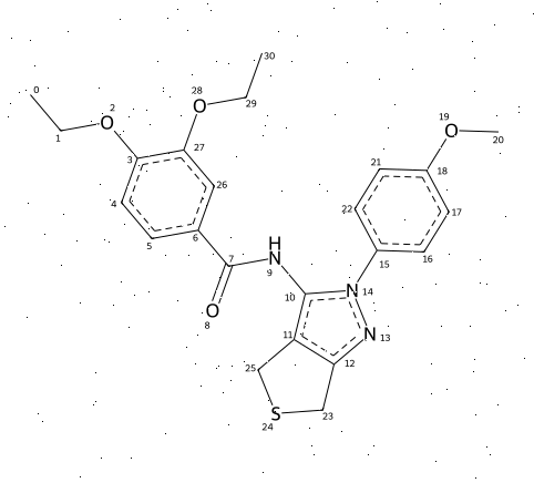 CCOc1ccc(C(=O)Nc2c3c(nn2-c2ccc(OC)cc2)CSC3)cc1OCC